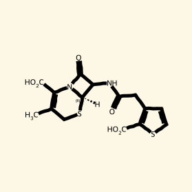 CC1=C(C(=O)O)N2C(=O)C(NC(=O)Cc3ccsc3C(=O)O)[C@H]2SC1